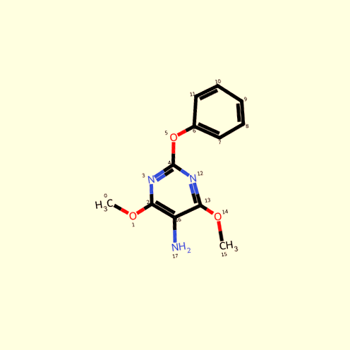 COc1nc(Oc2ccccc2)nc(OC)c1N